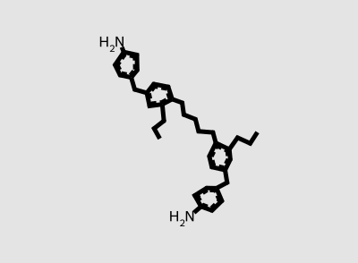 CCCc1cc(Cc2ccc(N)cc2)ccc1CCCCCc1ccc(Cc2ccc(N)cc2)cc1CCC